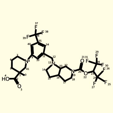 CC1(C(=O)O)CCCN(c2cc(CN3CCC4CCN(C(=O)OC(C(F)(F)F)C(F)(F)F)CC43)cc(C(F)(F)F)c2)C1